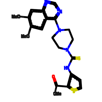 COC(=O)c1sccc1NC(=S)N1CCN(c2ncnc3cc(OC)c(OC)cc23)CC1